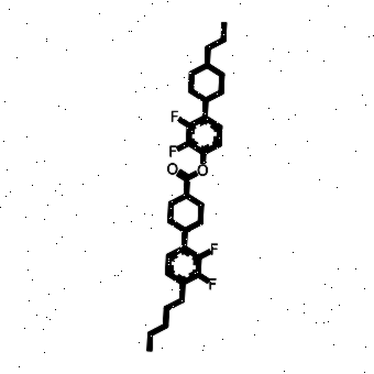 CCCCCc1ccc(C2CCC(C(=O)Oc3ccc(C4CCC(CCC)CC4)c(F)c3F)CC2)c(F)c1F